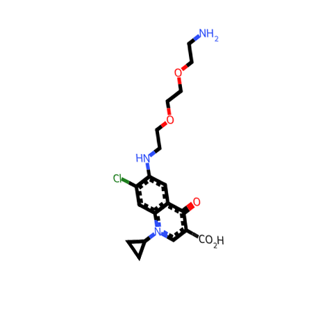 NCCOCCOCCNc1cc2c(=O)c(C(=O)O)cn(C3CC3)c2cc1Cl